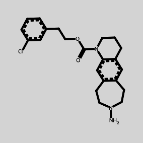 NN1CCc2cc3c(cc2CC1)N(C(=O)OCCc1cccc(Cl)c1)CCC3